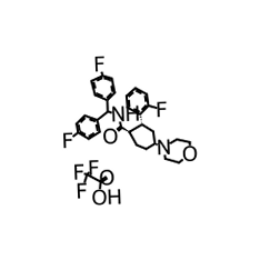 O=C(NC(c1ccc(F)cc1)c1ccc(F)cc1)[C@@H]1CC[C@H](N2CCOCC2)C[C@H]1c1ccccc1F.O=C(O)C(F)(F)F